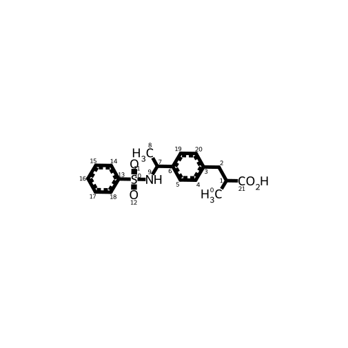 CC(Cc1ccc(C(C)NS(=O)(=O)c2ccccc2)cc1)C(=O)O